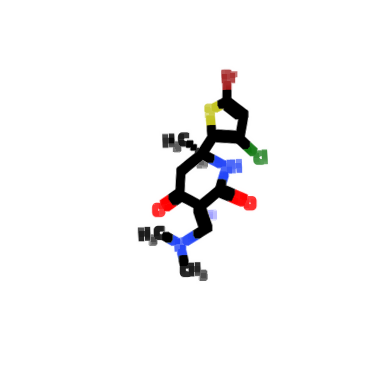 CN(C)/C=C1\C(=O)C[C@@](C)(c2sc(Br)cc2Cl)NC1=O